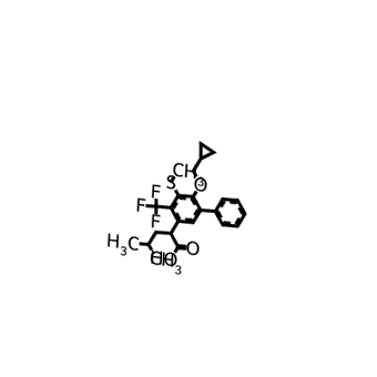 CSc1c(OCC2CC2)c(-c2ccccc2)cc(C(CC(C)C)C(=O)O)c1C(F)(F)F